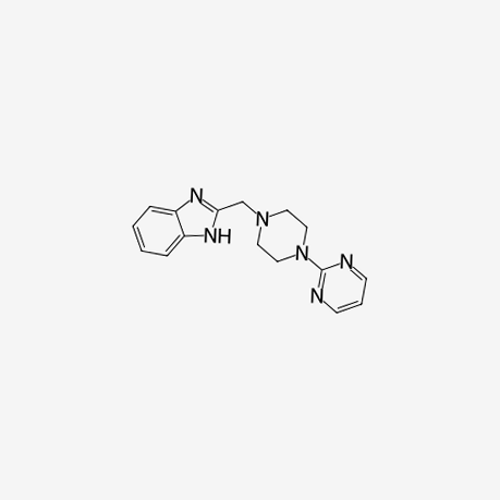 c1cnc(N2CCN(Cc3nc4ccccc4[nH]3)CC2)nc1